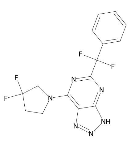 FC1(F)CCN(c2nc(C(F)(F)c3ccccc3)nc3[nH]nnc23)C1